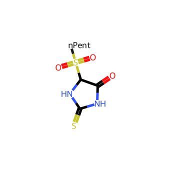 CCCCCS(=O)(=O)C1NC(=S)NC1=O